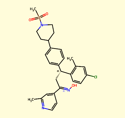 Cc1cc(/C(C[C@H](c2ccc(C3CCN(S(C)(=O)=O)CC3)cc2)c2ccc(Cl)cc2C)=N/O)ccn1